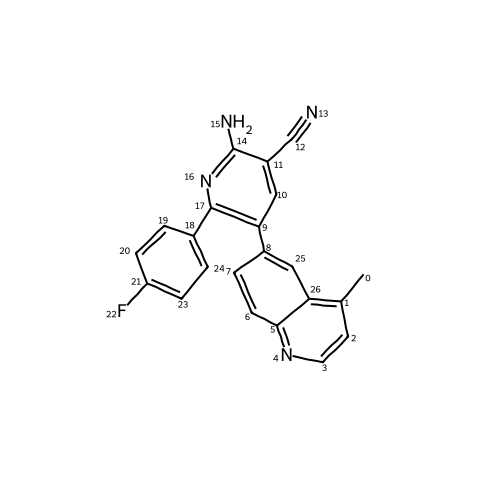 Cc1ccnc2ccc(-c3cc(C#N)c(N)nc3-c3ccc(F)cc3)cc12